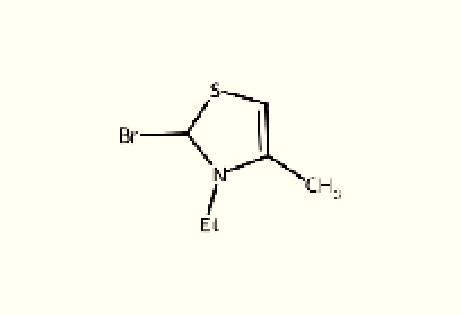 CCN1C(C)=CSC1Br